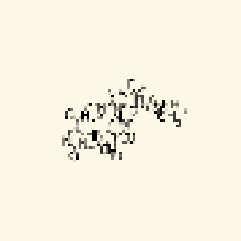 CC(Cn1cc(C(=O)N2CCN(c3ncc(C(F)(F)F)cn3)CC2)cnc1=O)Nc1cnn(COCC[Si](C)(C)C)c(=O)c1C(F)(F)F